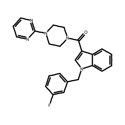 O=C(c1cn(Cc2cccc(F)c2)c2ccccc12)N1CCN(c2ncccn2)CC1